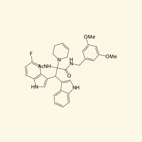 COc1cc(CNC(=O)C(NC(C)=O)(C(c2c[nH]c3ccccc23)c2c[nH]c3ccc(F)cc23)N2CC=CCC2)cc(OC)c1